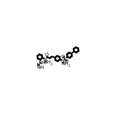 N=NNc1ccccc1N(N)C(=O)/C=C/c1ccc(N(N)S(=O)(=O)c2ccc(-c3ccccc3)cc2)cc1